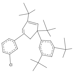 CC(C)(C)C1=CC(c2cc(C(C)(C)C)cc(C(C)(C)C)c2)(C(C)(C)C)CC(c2cccc(Cl)c2)=C1